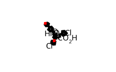 O=C(Nc1cc(-c2ccc(Cl)cc2)cn(C(Cc2ccc(Cl)cc2)C(=O)O)c1=O)c1ccc(-c2ccccc2)cc1